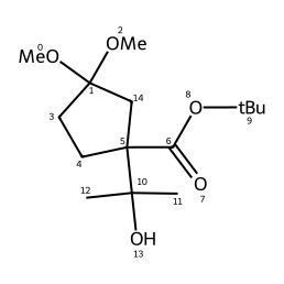 COC1(OC)CCC(C(=O)OC(C)(C)C)(C(C)(C)O)C1